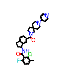 Cc1ccc(F)c(C(=O)NC2CCc3ccc(C(=O)N4CCC5(CCN(c6ccncc6)CC5)C4)cc32)c1Cl